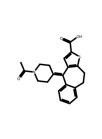 CC(=O)N1CCC(=C2c3ccccc3CCc3sc(C(=O)O)cc32)CC1